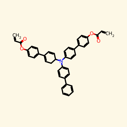 C=CC(=O)Oc1ccc(C2=CCC(N(c3ccc(-c4ccccc4)cc3)c3ccc(-c4ccc(OC(=O)C=C)cc4)cc3)C=C2)cc1